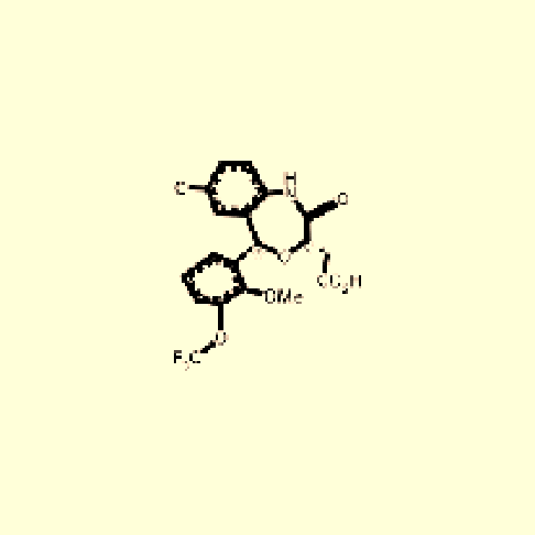 COc1c(OC(F)(F)F)cccc1[C@@H]1O[C@@H](CC(=O)O)C(=O)Nc2ccc(Cl)cc21